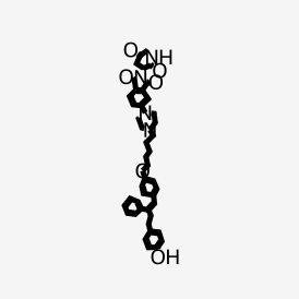 O=C1CNC(=O)C(N2C(=O)c3ccc(N4CCN(CCCCCOc5ccc(/C=C(/CCc6ccc(O)cc6)c6ccccc6)cc5)CC4)cc3C2=O)C1